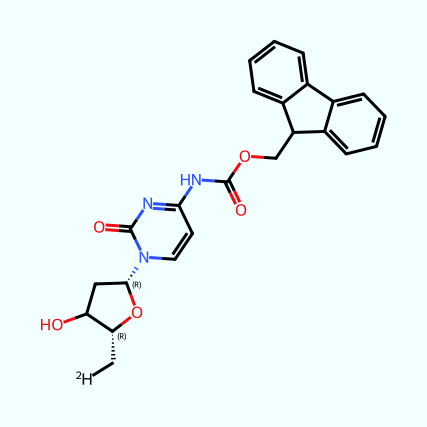 [2H]C[C@H]1O[C@@H](n2ccc(NC(=O)OCC3c4ccccc4-c4ccccc43)nc2=O)CC1O